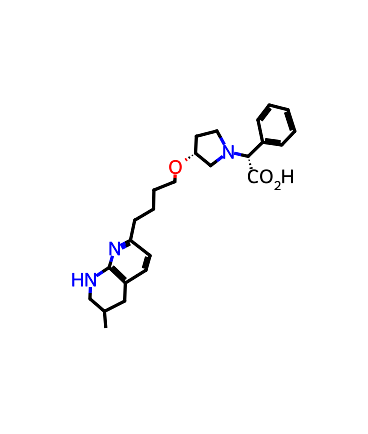 CC1CNc2nc(CCCCO[C@@H]3CCN([C@@H](C(=O)O)c4ccccc4)C3)ccc2C1